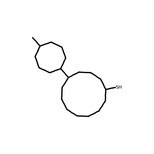 CC1CCCC(C2CCCCCCCC(S)CCC2)CCC1